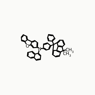 CC1(C)c2cccc3c2-c2c1cccc2C3(c1ccccc1)c1ccc(N(c2ccc3c(c2)oc2ccccc23)c2cccc3ccccc23)cc1